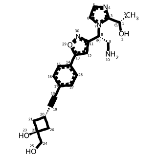 C[C@H](O)c1nccn1[C@H](CN)c1cc(-c2ccc(C#C[C@H]3C[C@@](O)(CO)C3)cc2)on1